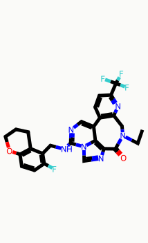 CCN1Cc2nc(C(F)(F)F)ccc2-c2cnc(NCc3c(F)ccc4c3CCCO4)n3cnc(c23)C1=O